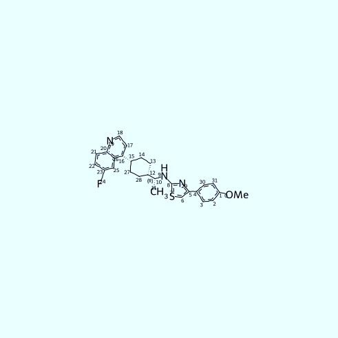 COc1ccc(-c2csc(N[C@H](C)[C@H]3CC[C@@H](c4ccnc5ccc(F)cc54)CC3)n2)cc1